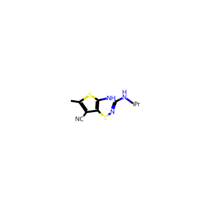 Cc1sc2c(c1C#N)SN=C(NC(C)C)N2